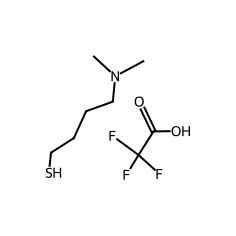 CN(C)CCCCS.O=C(O)C(F)(F)F